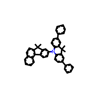 CC1(C)c2cc(-c3ccccc3)ccc2N(c2ccc3c(c2)C(C)(C)c2ccc4ccccc4c2-3)c2ccc(-c3ccccc3)cc21